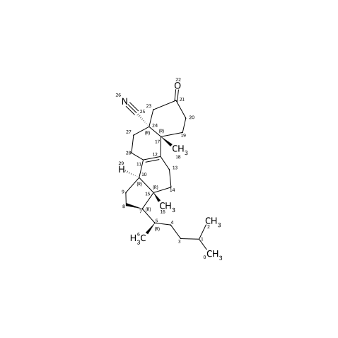 CC(C)CC[C@@H](C)[C@H]1CC[C@H]2C3=C(CC[C@]12C)[C@@]1(C)CCC(=O)C[C@]1(C#N)CC3